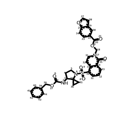 O=C(NC1CCN(S(=O)(=O)c2cccc3c(=O)n(COC(=O)c4ccc5occc5c4)ccc23)C12CC2)OCc1ccccc1